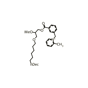 CCCCCCCCCCCCCCCCOCC(COC(=O)c1cccc(C[n+]2ccccc2C)c1)OC